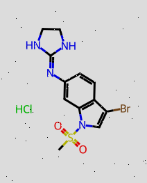 CS(=O)(=O)n1cc(Br)c2ccc(N=C3NCCN3)cc21.Cl